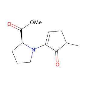 COC(=O)[C@@H]1CCCN1C1=CCC(C)C1=O